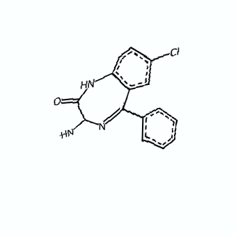 [NH]C1N=C(c2ccccc2)c2cc(Cl)ccc2NC1=O